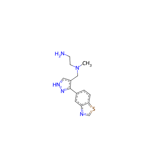 CN(CCN)Cc1c[nH]nc1-c1ccc2scnc2c1